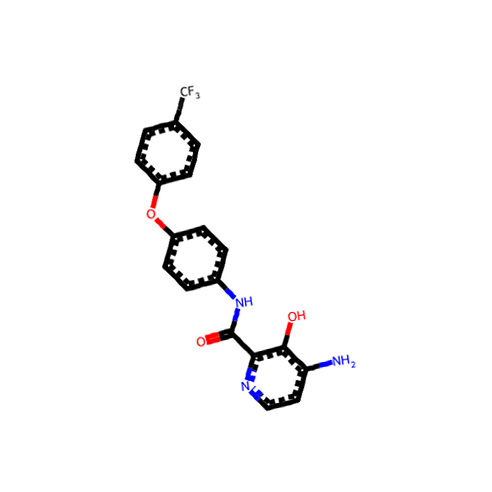 Nc1ccnc(C(=O)Nc2ccc(Oc3ccc(C(F)(F)F)cc3)cc2)c1O